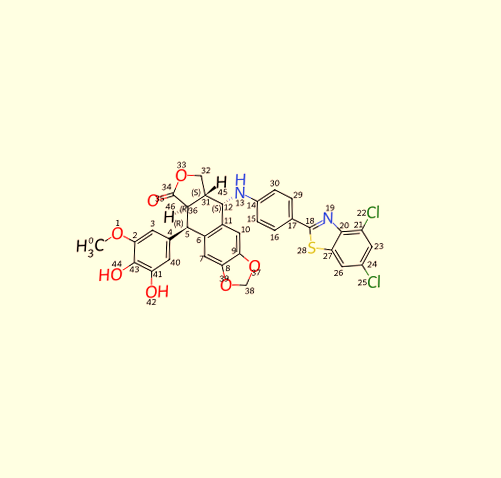 COc1cc([C@@H]2c3cc4c(cc3[C@@H](Nc3ccc(-c5nc6c(Cl)cc(Cl)cc6s5)cc3)[C@H]3COC(=O)[C@H]23)OCO4)cc(O)c1O